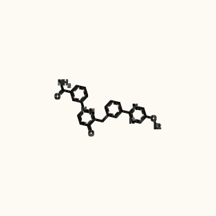 CCOc1cnc(-c2cccc(Cc3nn(-c4cccc(C(N)=O)c4)ccc3=O)c2)nc1